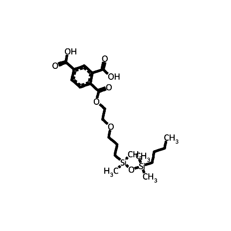 CCCC[Si](C)(C)O[Si](C)(C)CCCOCCOC(=O)c1ccc(C(=O)O)cc1C(=O)O